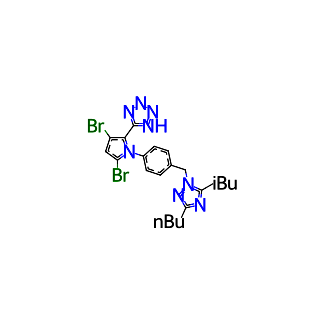 CCCCc1nc(C(C)CC)n(Cc2ccc(-n3c(Br)cc(Br)c3-c3nnn[nH]3)cc2)n1